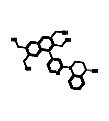 OCc1cc2cc(CO)c(CO)c(-c3ccnc(N4CC[C@H](O)c5ccccc54)c3)c2cc1CO